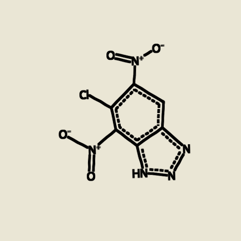 O=[N+]([O-])c1cc2nn[nH]c2c([N+](=O)[O-])c1Cl